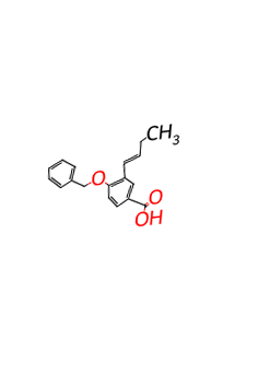 CCC=Cc1cc(C(=O)O)ccc1OCc1ccccc1